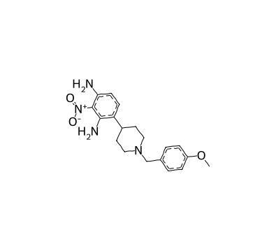 COc1ccc(CN2CCC(c3ccc(N)c([N+](=O)[O-])c3N)CC2)cc1